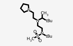 CC(N(CCN1CCCC1)CCN(C(C)(C)C)S(C)(=O)=O)C(C)(C)C